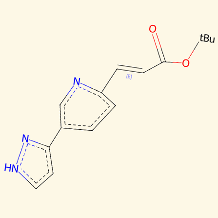 CC(C)(C)OC(=O)/C=C/c1ccc(-c2cc[nH]n2)cn1